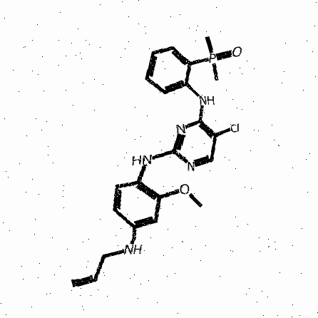 C=CCNc1ccc(Nc2ncc(Cl)c(Nc3ccccc3P(C)(C)=O)n2)c(OC)c1